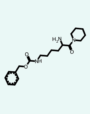 NC(CCCCNC(=O)OCc1ccccc1)C(=O)N1CCCCC1